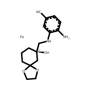 N#Cc1ccc(N)c(NC[C@@]2(O)CCCC3(C2)OCCO3)c1.[Fe]